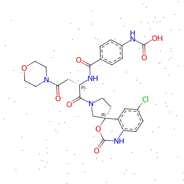 O=C(O)Nc1ccc(C(=O)N[C@@H](CC(=O)N2CCOCC2)C(=O)N2CC[C@@]3(C2)OC(=O)Nc2ccc(Cl)cc23)cc1